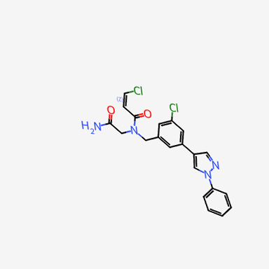 NC(=O)CN(Cc1cc(Cl)cc(-c2cnn(-c3ccccc3)c2)c1)C(=O)/C=C\Cl